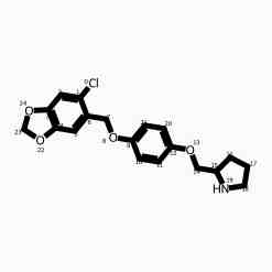 Clc1cc2c(cc1COc1ccc(OCC3CCCN3)cc1)OCO2